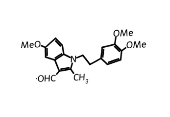 COc1ccc2c(c1)c([C]=O)c(C)n2CCc1ccc(OC)c(OC)c1